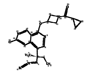 CC[C@@](C)(N=[N+]=[N-])c1cnc(OC2CN(C(=O)C3CC3)C2)c2cnc(Cl)cc12